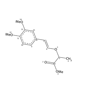 COC(=O)C(C)OC=Cc1ccc(OC)c(OC)c1